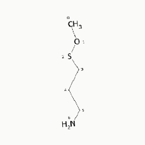 COSCCCN